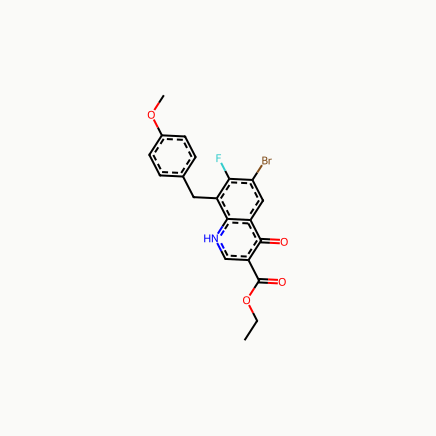 CCOC(=O)c1c[nH]c2c(Cc3ccc(OC)cc3)c(F)c(Br)cc2c1=O